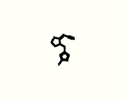 N#CN=C1SCCN1Cc1cnc(I)s1